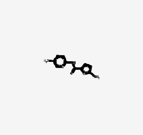 Cc1ccc(NC(=O)c2ccc(C)o2)nc1